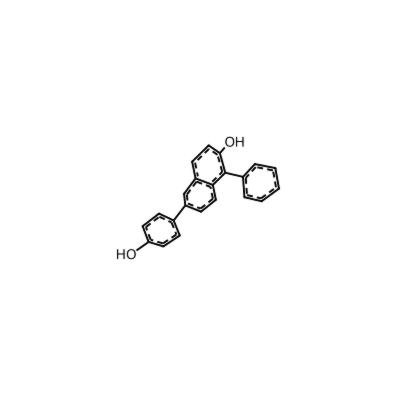 Oc1ccc(-c2ccc3c(-c4ccccc4)c(O)ccc3c2)cc1